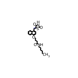 CCCCCCNC(=O)CCCOc1ccc(/C=C2\SC(=O)NC2=O)c2ccccc12